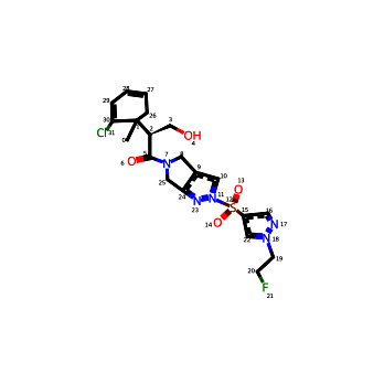 CC1([C@@H](CO)C(=O)N2Cc3cn(S(=O)(=O)c4cnn(CCF)c4)nc3C2)CC=CC=C1Cl